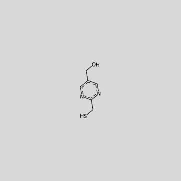 OCc1cnc(CS)nc1